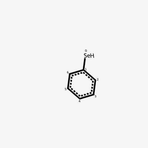 [SeH]c1ccccc1